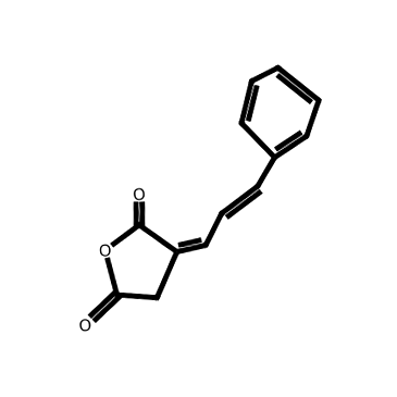 O=C1CC(=CC=Cc2ccccc2)C(=O)O1